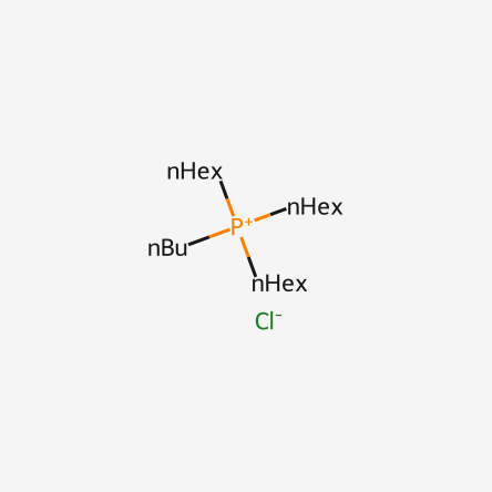 CCCCCC[P+](CCCC)(CCCCCC)CCCCCC.[Cl-]